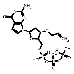 C=CCO[C@@H]1C[C@H](n2ccc3c(=O)[nH]c(N)nc32)OC1COP(=O)(O)OP(=O)(O)OP(=O)(O)O